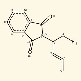 CC=CC(CF)N1C(=O)c2ccccc2C1=O